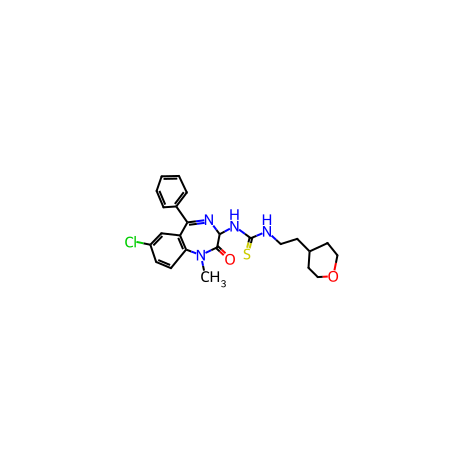 CN1C(=O)C(NC(=S)NCCC2CCOCC2)N=C(c2ccccc2)c2cc(Cl)ccc21